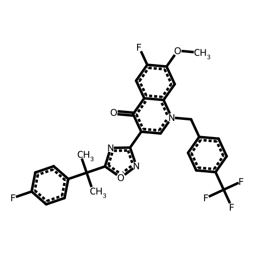 COc1cc2c(cc1F)c(=O)c(-c1noc(C(C)(C)c3ccc(F)cc3)n1)cn2Cc1ccc(C(F)(F)F)cc1